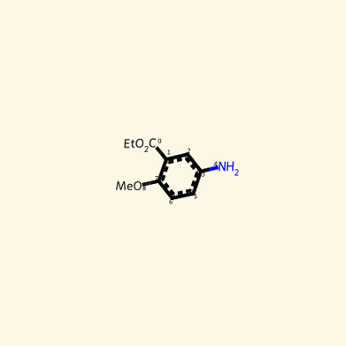 CCOC(=O)c1cc(N)ccc1OC